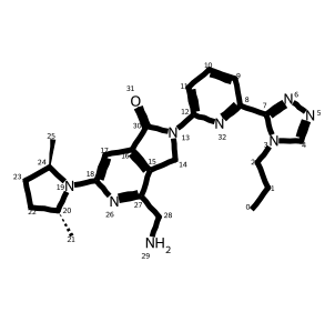 CCCn1cnnc1-c1cccc(N2Cc3c(cc(N4[C@H](C)CC[C@H]4C)nc3CN)C2=O)n1